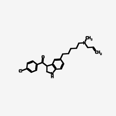 C=CCN(C)CCCCCc1ccc2c(c1)C(C(=O)c1ccc(Cl)cc1)CN2